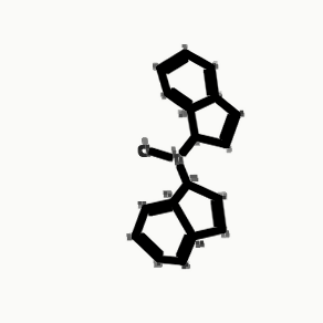 [Cl][Ti]([CH]1C=Cc2ccccc21)[CH]1C=Cc2ccccc21